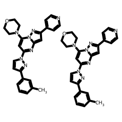 Cc1cccc(-c2ccn(-c3cc(N4CCOCC4)n4nc(-c5ccncc5)cc4n3)n2)c1.Cc1cccc(-c2ccn(-c3cc(N4CCOCC4)n4nc(-c5ccncc5)cc4n3)n2)c1